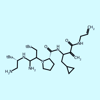 C=CCNC(=O)C(=C)C(CC1CC1)NC(=O)[C@@H]1CCCN1C(CC(C)(C)C)C(N)N[C@H](CN)C(C)(C)C